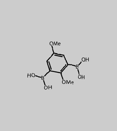 COc1cc(B(O)O)c(OC)c(B(O)O)c1